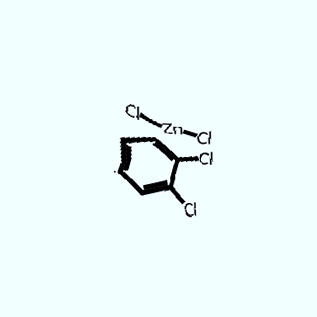 Clc1c[c]ccc1Cl.[Cl][Zn][Cl]